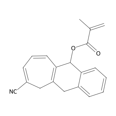 C=C(C)C(=O)OC1C2=C(CC(C#N)=CC=C2)Cc2ccccc21